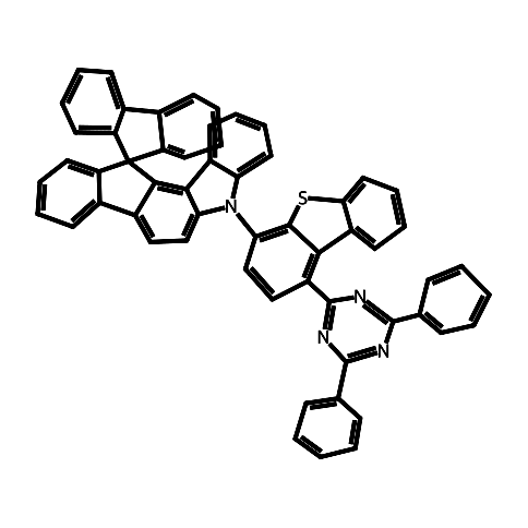 c1ccc(-c2nc(-c3ccccc3)nc(-c3ccc(-n4c5ccccc5c5c6c(ccc54)-c4ccccc4C64c5ccccc5-c5ccccc54)c4sc5ccccc5c34)n2)cc1